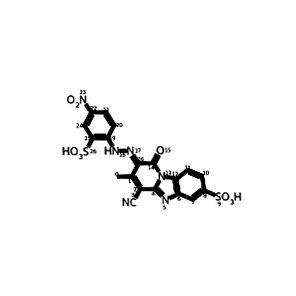 CC1=C(C#N)c2nc3cc(S(=O)(=O)O)ccc3n2C(=O)/C1=N/Nc1ccc([N+](=O)[O-])cc1S(=O)(=O)O